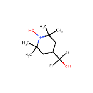 CCC(O)(CC)C1CC(C)(C)N(O)C(C)(C)C1